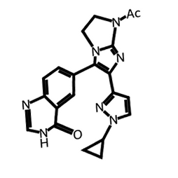 CC(=O)N1CCn2c1nc(-c1ccn(C3CC3)n1)c2-c1ccc2nc[nH]c(=O)c2c1